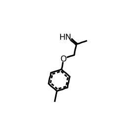 CC(=N)COc1ccc(C)cc1